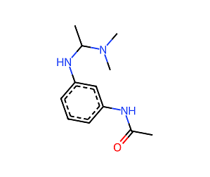 CC(=O)Nc1cccc(NC(C)N(C)C)c1